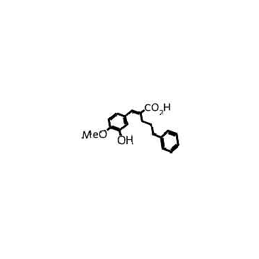 COc1ccc(/C=C(\CCCc2ccccc2)C(=O)O)cc1O